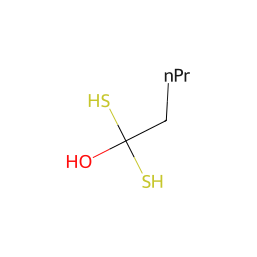 CCCCC(O)(S)S